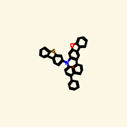 c1ccc(-c2ccc(N(c3ccc4c(c3)sc3ccccc34)c3cc4oc5ccccc5c4cc3-c3ccccc3)cc2)cc1